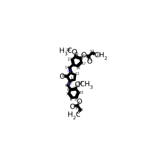 C=CC(=O)Oc1ccc(/C=C2\CC/C(=C\c3ccc(OC(=O)C=C)c(OC)c3)C2=O)c(OC)c1